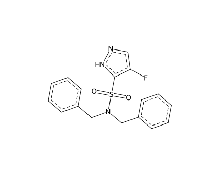 O=S(=O)(c1[nH]ncc1F)N(Cc1ccccc1)Cc1ccccc1